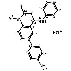 CC(=O)N1c2ccc(-c3ccc(N)nc3)cc2[C@H](Nc2ccccc2)C[C@@H]1C.Cl